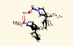 CC(C)(C)OC(=O)N1CCC2C(C1)C2(C#N)c1ccsc1.CC(C)(C)OC(=O)N1CCC2C(C1)C2(C(=O)O)c1ccsc1